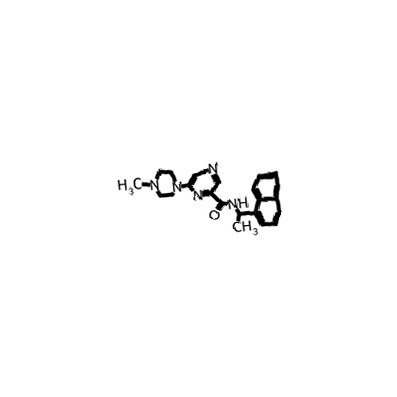 CC(NC(=O)c1cncc(N2CCN(C)CC2)n1)c1cccc2ccccc12